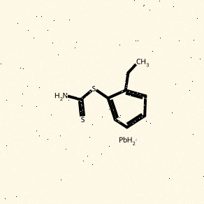 CCc1ccccc1SC(N)=S.[PbH2]